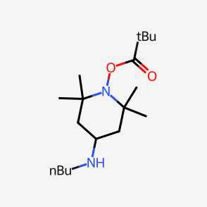 CCCCNC1CC(C)(C)N(OC(=O)C(C)(C)C)C(C)(C)C1